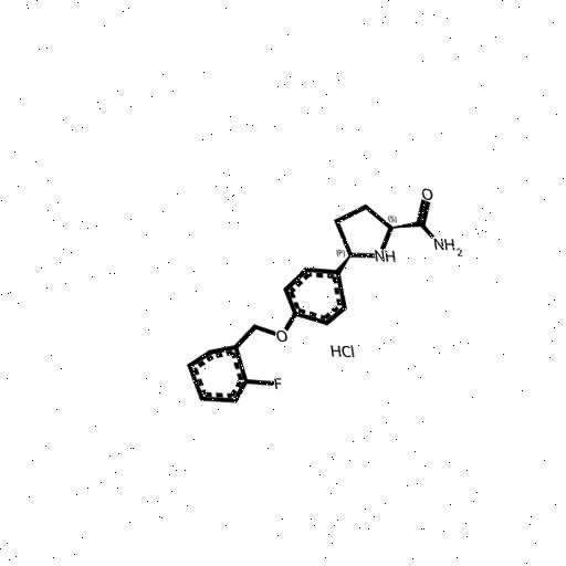 Cl.NC(=O)[C@@H]1CC[C@H](c2ccc(OCc3ccccc3F)cc2)N1